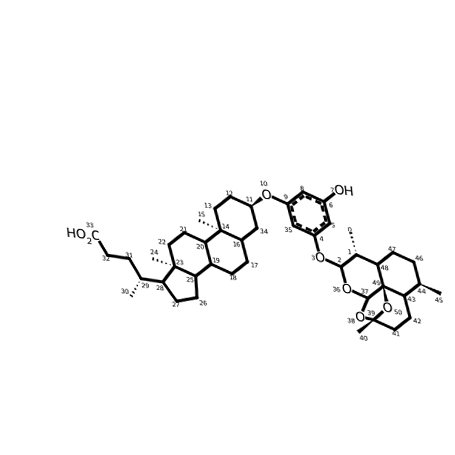 C[C@H]1C(Oc2cc(O)cc(O[C@@H]3CC[C@@]4(C)C(CCC5C4CC[C@@]4(C)C5CCC4[C@H](C)CCC(=O)O)C3)c2)OC2O[C@@]3(C)CCC4[C@H](C)CCC1[C@@]24O3